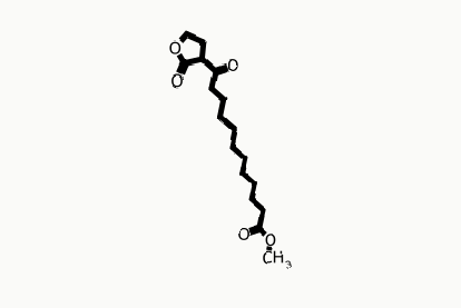 COC(=O)CCCCCCCCCCC(=O)C1CCOC1=O